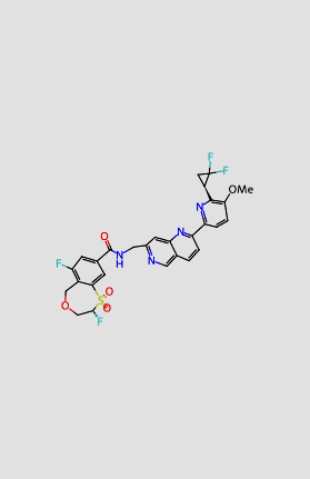 COc1ccc(-c2ccc3cnc(CNC(=O)c4cc(F)c5c(c4)S(=O)(=O)[C@@H](F)COC5)cc3n2)nc1[C@H]1CC1(F)F